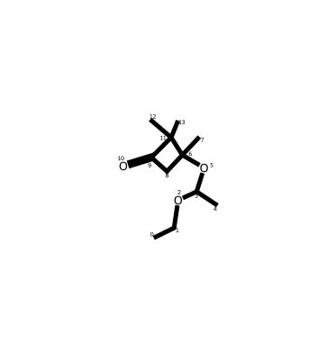 CCOC(C)OC1(C)CC(=O)C1(C)C